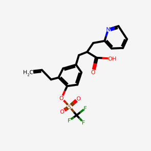 C=CCc1cc(CC(Cc2ccccn2)C(=O)O)ccc1OS(=O)(=O)C(F)(F)F